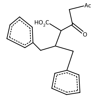 CC(=O)CC(=O)C(C(=O)O)C(Cc1ccccc1)Cc1ccccc1